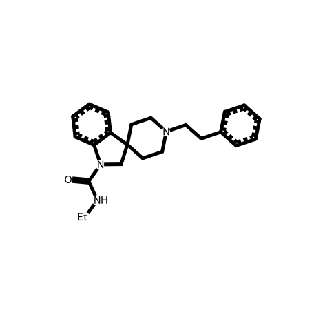 CCNC(=O)N1CC2(CCN(CCc3ccccc3)CC2)c2ccccc21